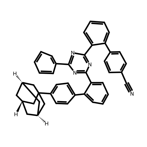 N#Cc1ccc(-c2ccccc2-c2nc(-c3ccccc3)nc(-c3ccccc3-c3ccc(C45C[C@H]6C[C@@H](C4)C[C@@H](C5)C6)cc3)n2)cc1